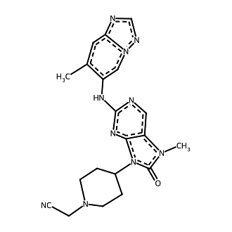 Cc1cc2ncnn2cc1Nc1ncc2c(n1)n(C1CCN(CC#N)CC1)c(=O)n2C